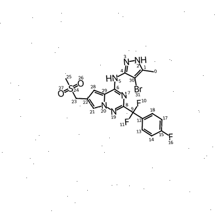 Cc1[nH]nc(Nc2nc(C(F)(F)c3ccc(F)cc3)nn3cc(CS(C)(=O)=O)cc23)c1Br